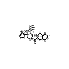 CN(C)C1(c2ccccc2)CCN(C(=O)C2Cc3ccccc3CN2)CC1.Cl.Cl